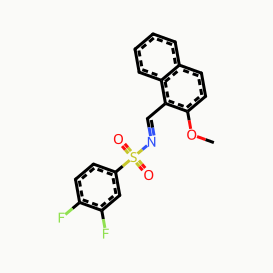 COc1ccc2ccccc2c1/C=N/S(=O)(=O)c1ccc(F)c(F)c1